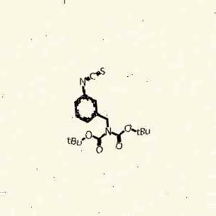 CC(C)(C)OC(=O)N(Cc1cccc(N=C=S)c1)C(=O)OC(C)(C)C